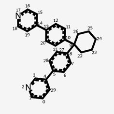 c1cncc(-c2ccc(C3(c4ccc(-c5ccncc5)cc4)CCCCC3)cc2)c1